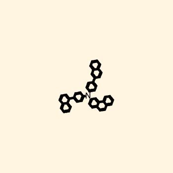 c1ccc2cc(-c3ccc(N(c4ccc(-c5cccc6ccccc56)cc4)c4ccc5ccc6ccccc6c5c4)cc3)ccc2c1